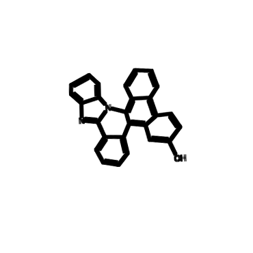 Oc1ccc2c3ccccc3c3c(c2c1)c1ccccc1c1nc2ccccc2n13